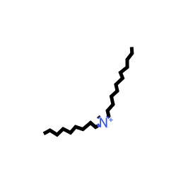 CCCCCCCCCCCC[N+](C)(C)CCCCCCCCC